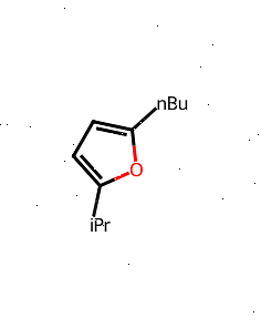 CCCCc1ccc(C(C)C)o1